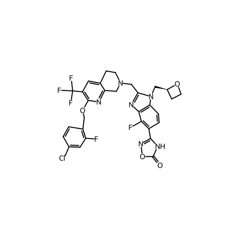 O=c1[nH]c(-c2ccc3c(nc(CN4CCc5cc(C(F)(F)F)c(OCc6ccc(Cl)cc6F)nc5C4)n3C[C@@H]3CCO3)c2F)no1